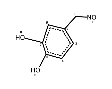 O=NCc1ccc(O)c(O)c1